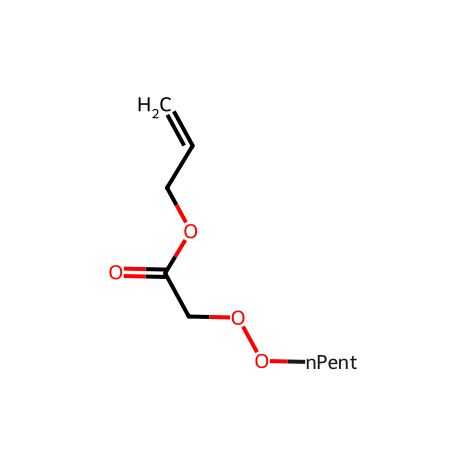 C=CCOC(=O)COOCCCCC